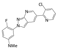 CNc1ccc(F)c(-n2cc3cc(-c4ncccc4Cl)cnc3n2)c1